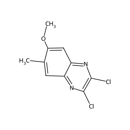 COc1cc2nc(Cl)c(Cl)nc2cc1C